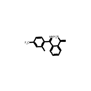 C=C(N)c1ccccc1C(=N)c1ccc(C(F)(F)F)cc1C